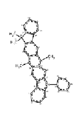 Cc1c2cc3c(cc2c(C)c2cc4c(cc12)c1ccccc1n4-c1ccccc1)-c1ccccc1C3(C)C